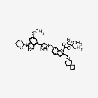 CSc1cc(-c2cn(Cc3ccc4cc(CN5CCC6(CCC6)C5)n(C(=O)OC(C)(C)C)c4c3)nn2)c2cnn(C3CCCCO3)c2c1